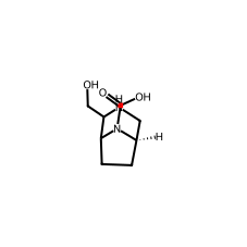 O=C(O)N1C2CC[C@@H]1CNC2CO